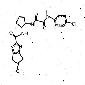 CN1Cc2nc(C(=O)N[C@@H]3CCC[C@H]3NC(=O)C(=O)Nc3ccc(Cl)cc3)sc2C1